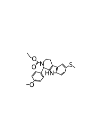 CCOC(=O)N1CCc2c([nH]c3ccc(SC)cc23)C1c1ccc(OC)cc1